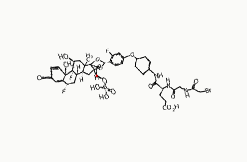 C[C@]12C=CC(=O)C=C1[C@@H](F)C[C@H]1[C@@H]3C[C@H]4O[C@@H](c5ccc(OC6CCC(NC(=O)[C@H](CCC(=O)O)NC(=O)CNC(=O)CBr)CC6)cc5F)O[C@@]4(C(=O)COP(=O)(O)O)[C@@]3(C)C[C@H](O)[C@@]12F